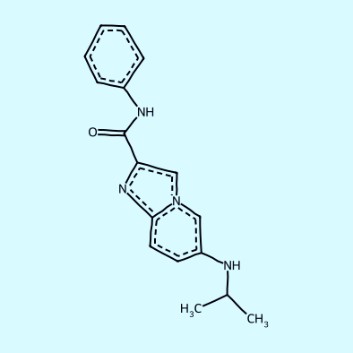 CC(C)Nc1ccc2nc(C(=O)Nc3ccccc3)cn2c1